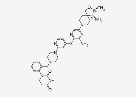 C[C@@H]1OCC2(CCN(c3cnc(Sc4ccnc(N5CCN(Cc6ccccc6N6CCC(=O)NC6=O)CC5)c4)c(N)n3)CC2)[C@@H]1N